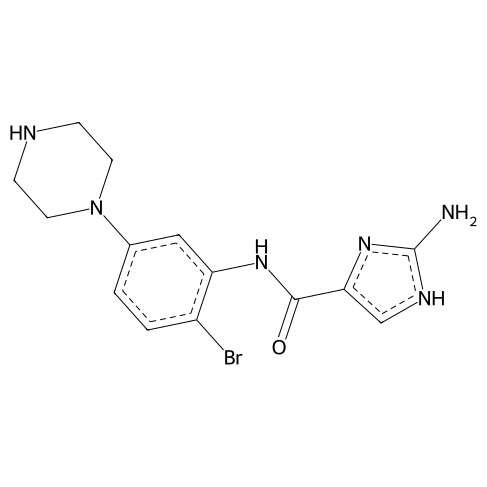 Nc1nc(C(=O)Nc2cc(N3CCNCC3)ccc2Br)c[nH]1